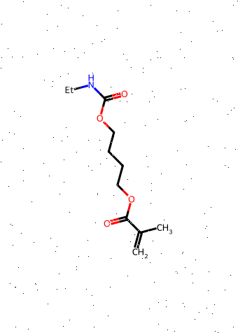 C=C(C)C(=O)OCCCCOC(=O)NCC